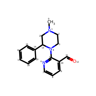 CN1CCN(c2ncccc2C=O)C(c2ccccc2)C1